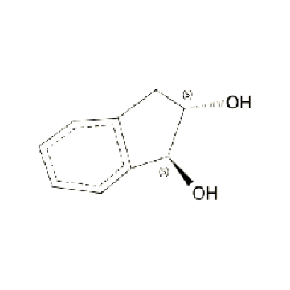 O[C@H]1Cc2ccccc2[C@@H]1O